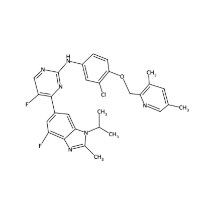 Cc1cnc(COc2ccc(Nc3ncc(F)c(-c4cc(F)c5nc(C)n(C(C)C)c5c4)n3)cc2Cl)c(C)c1